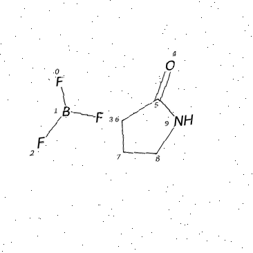 FB(F)F.O=C1CCCN1